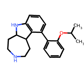 CC(C)Oc1ccccc1-c1cccc2c1C1CCNCCC1N2